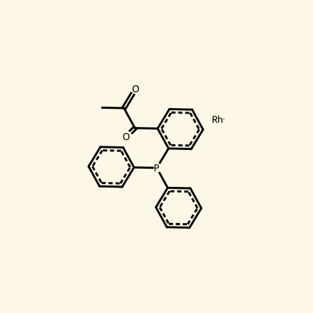 CC(=O)C(=O)c1ccccc1P(c1ccccc1)c1ccccc1.[Rh]